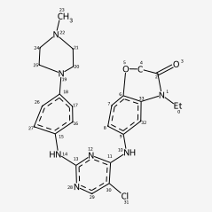 CCN1C(=O)COc2ccc(Nc3nc(Nc4ccc(N5CCN(C)CC5)cc4)ncc3Cl)cc21